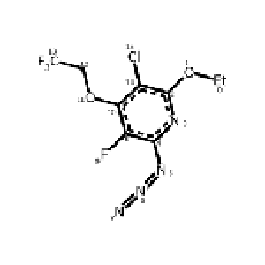 CCOc1nc(N=[N+]=[N-])c(F)c(OCC(F)(F)F)c1Cl